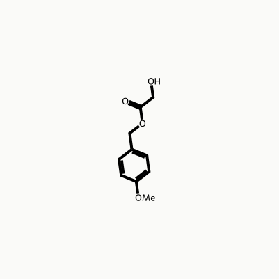 COc1ccc(COC(=O)CO)cc1